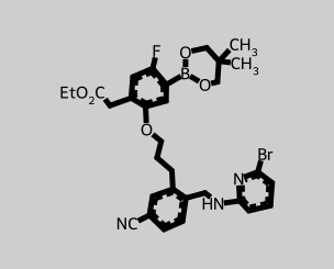 CCOC(=O)Cc1cc(F)c(B2OCC(C)(C)CO2)cc1OCCCc1cc(C#N)ccc1CNc1cccc(Br)n1